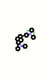 Fc1ccccc1N(c1ccc(-c2ccc3ccc4cc5c6ccccc6n(-c6ccccc6)c5c5ccc2c3c45)cc1)c1ccccc1F